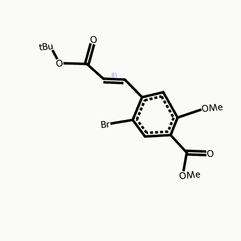 COC(=O)c1cc(Br)c(/C=C/C(=O)OC(C)(C)C)cc1OC